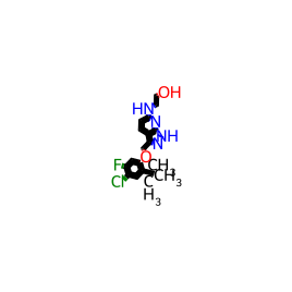 CC(C)(C)c1cc(Cl)c(F)cc1OCc1n[nH]c2nc(NCCO)ccc12